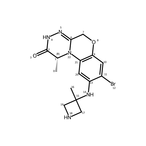 C[C@@H]1C(=O)NN=C2COc3cc(Br)c(NC4(C)CNC4)cc3N21